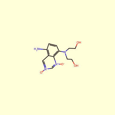 Nc1ccc(N(CCO)CCO)c2c1c[n+]([O-])c[n+]2[O-]